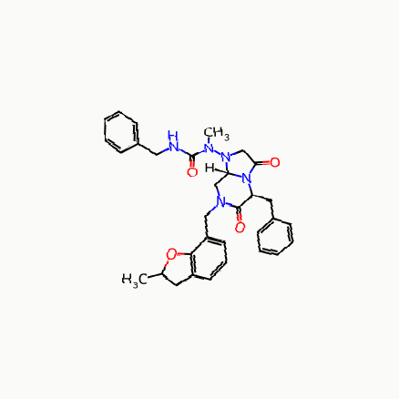 CC1Cc2cccc(CN3C[C@H]4N(C(=O)CN4N(C)C(=O)NCc4ccccc4)[C@@H](Cc4ccccc4)C3=O)c2O1